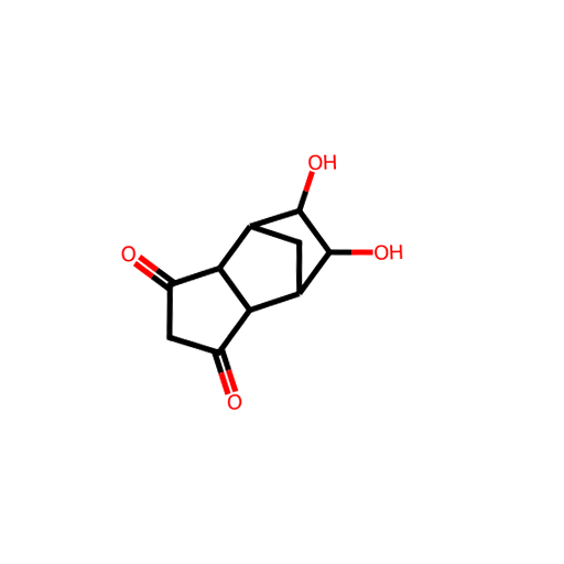 O=C1CC(=O)C2C3CC(C(O)C3O)C12